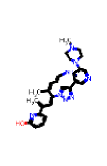 C=C(\C=C(/C(C)=C\C=C\N)n1cc(-c2cncc(N3CCN(C)CC3)c2)nn1)c1cccc(O)n1